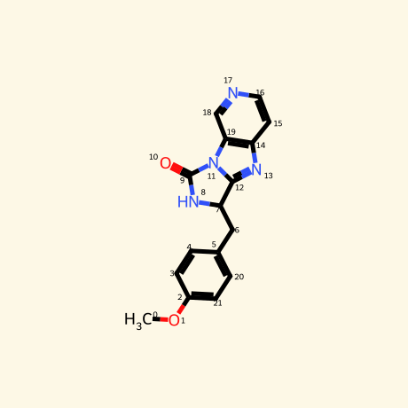 COc1ccc(CC2NC(=O)n3c2nc2ccncc23)cc1